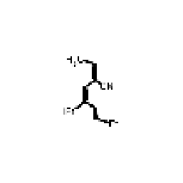 C\C=C(C#N)/C=C(\C=C\CC)C(C)C